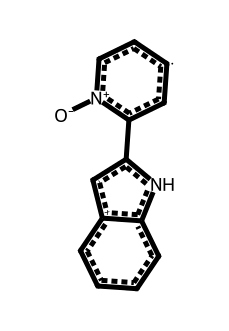 [O-][n+]1cc[c]cc1-c1cc2ccccc2[nH]1